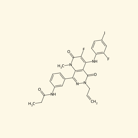 C=CCn1nc(-c2cccc(NC(=O)CC)c2)c2c(c(Nc3ccc(I)cc3F)c(F)c(=O)n2C)c1=O